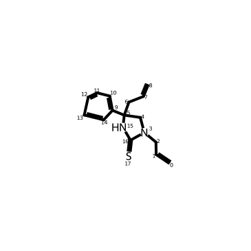 C=CCN1CC(CC=C)(c2ccccc2)NC1=S